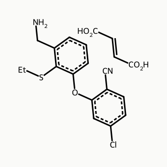 CCSc1c(CN)cccc1Oc1cc(Cl)ccc1C#N.O=C(O)C=CC(=O)O